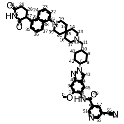 COc1cc2nn([C@H]3CC[C@H](CN4CCC5(CC4)CCN(c4cccc6c(C7CCC(=O)NC7=O)cccc46)CC5)CC3)cc2cc1NC(=O)c1cncc(C#N)c1